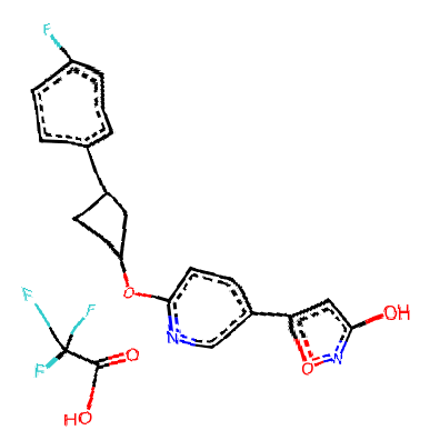 O=C(O)C(F)(F)F.Oc1cc(-c2ccc(OC3CC(c4ccc(F)cc4)C3)nc2)on1